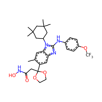 Cc1cc2c(cc1C1(CC(=O)NO)OCCO1)nc(Nc1ccc(OC(F)(F)F)cc1)n2C1CC(C)(C)CC(C)(C)C1